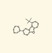 CC(C)(C)c1cccc2oc3ccc(-c4ccccc4)cc3c12